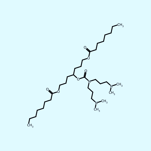 CCCCCCCC(=O)OCCCC(CCCOC(=O)CCCCCCC)OC(=O)N(CCCN(C)C)CCCN(C)C